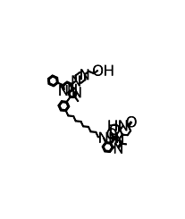 Cc1nn2c(N3CCN(CCO)CC3)cc(-c3ccccc3)nc2c1-c1cccc(CCCCCCCCCNc2cccc3nc(C)n(C4CCC(=O)NC4=O)c(=O)c23)c1